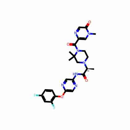 C[C@@H](C(=O)Nc1cnc(Oc2ccc(F)cc2F)cn1)N1CCN(C(=O)c2cn(C)c(=O)cn2)C(C)(C)C1